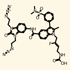 Cc1c(-c2cccc(S(=O)(=O)N(C)C)c2)c2cc(C(=O)Nc3ccc4c(c3)n(CCN=[N+]=[N-])c(=O)n4CCN=[N+]=[N-])ccc2n1C/C(F)=C/CNC(=O)O